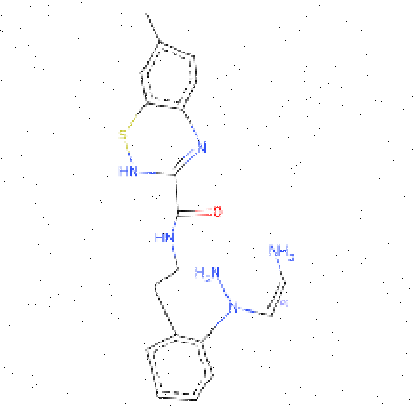 Cc1ccc2c(c1)SNC(C(=O)NCCc1ccccc1N(N)/C=C\N)=N2